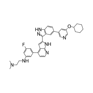 CN(C)CCNc1cc(F)cc(-c2ccnc3[nH]c(-c4n[nH]c5ccc(-c6cncc(OC7CCCCC7)c6)cc45)cc23)c1